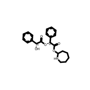 O=C(O[C@@H](C(=O)OC1CCCCCN1)c1ccccc1)[C@H](O)c1ccccc1